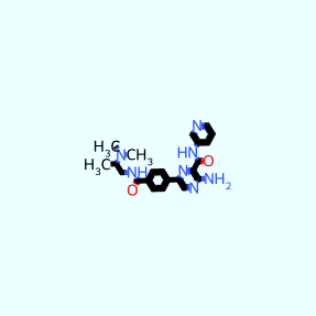 CC(CNC(=O)c1ccc(-c2cnc(N)c(C(=O)Nc3cccnc3)n2)cc1)N(C)C